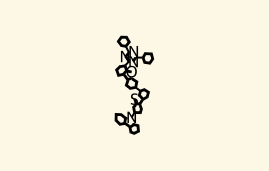 c1ccc(-c2nc(-c3ccccc3)nc(-c3cccc4c3oc3cc(-c5cccc6c5sc5cc(-n7c8ccccc8c8ccccc87)ccc56)ccc34)n2)cc1